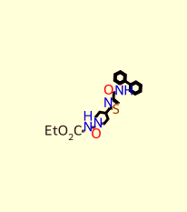 CCOC(=O)CNC(=O)N1CCC(c2nc(C(=O)Nc3ccccc3-c3ccccc3)cs2)CC1